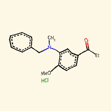 CCC(=O)c1ccc(OC)c(N(C)Cc2ccccc2)c1.Cl